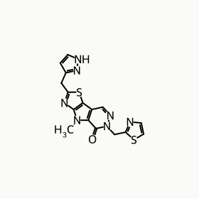 Cn1c2nc(Cc3cc[nH]n3)sc2c2cnn(Cc3nccs3)c(=O)c21